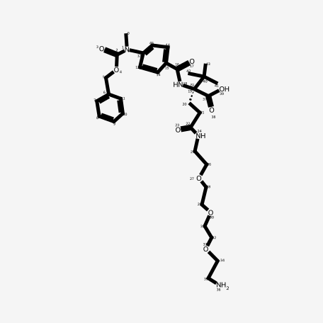 CN(C(=O)OCc1ccccc1)c1ccc(C(=O)N[C@](CCC(=O)NCCOCCOCCOCCN)(C(=O)O)C(C)(C)C)cc1